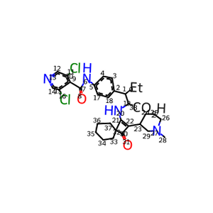 CCC(c1ccc(NC(=O)c2c(Cl)cncc2Cl)cc1)[C@H](NC1=C(C2CCCN(C)C2)C(=O)C12CCCCC2)C(=O)O